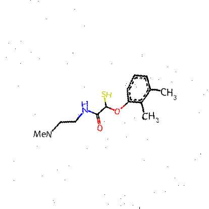 CNCCNC(=O)C(S)Oc1cccc(C)c1C